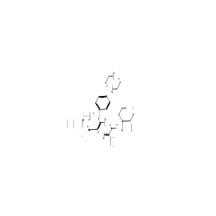 CCc1nc(C(N)=O)c(Nc2ccc(N3CCN(C)CC3)cc2)nc1NC1CCOCC1